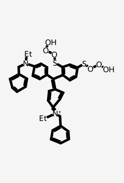 CCN(Cc1ccccc1)c1ccc(C(=C2C=CC(=[N+](CC)Cc3ccccc3)C=C2)c2ccc(SOOO)cc2SOOO)cc1